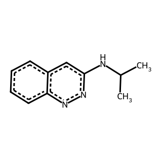 CC(C)Nc1cc2ccccc2nn1